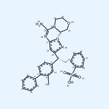 C[C@H](c1ccc(-c2ccccc2)c(F)c1)c1cc(/N=C(/N)N2CCOCC2)on1.O=S(=O)(O)c1ccccc1